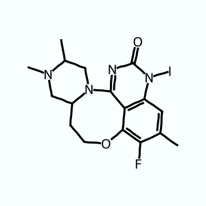 Cc1cc2c3c(nc(=O)n2I)N2CC(C)N(C)CC2CCOc3c1F